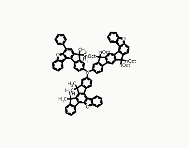 CCCCCCCCC1(CCCCCCCC)c2cc(N(c3ccc4c(c3)C(C)(C)c3cc(-c5ccccc5)c5oc6ccccc6c5c3-4)c3ccc4c(c3)C(C)(C)c3c5c(c6oc7ccccc7c6c3-4)-c3ccccc3C5(C)C)ccc2-c2cc3c(cc21)-c1c(ccc2oc4ccccc4c12)C3(CCCCCCCC)CCCCCCCC